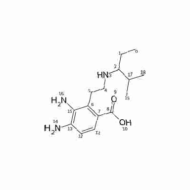 CCC(NCCc1c(C(=O)O)ccc(N)c1N)C(C)C